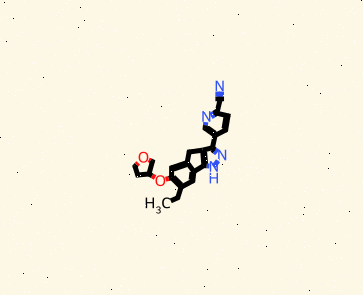 CCc1cc2c(cc1OC1CCOC1)Cc1c(-c3ccc(C#N)nc3)n[nH]c1-2